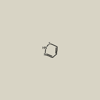 [C]1=NNSC=C1